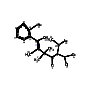 CCC(Cl)C(C(Cl)C(C)(C)/C(C)=C(\O)c1ncccc1C(C)(C)C)N(C)C(C)=O